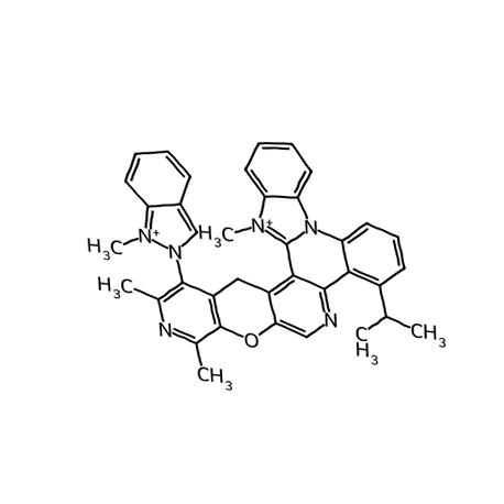 Cc1nc(C)c(-n2cc3ccccc3[n+]2C)c2c1Oc1cnc3c4c(C(C)C)cccc4n4c5ccccc5[n+](C)c4c3c1C2